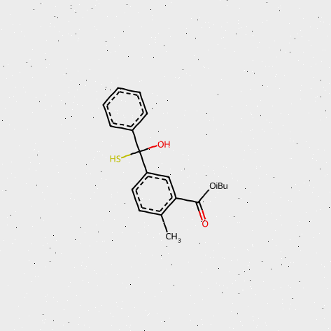 Cc1ccc(C(O)(S)c2ccccc2)cc1C(=O)OCC(C)C